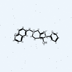 Oc1c2c(nn1-c1ccccn1)CN(Cc1ccc3ncccc3c1)CC2